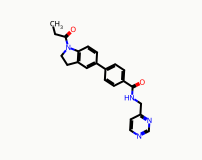 CCC(=O)N1CCc2cc(-c3ccc(C(=O)NCc4ccncn4)cc3)ccc21